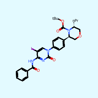 CCC[C@@H]1COC[C@@H](c2ccc(-n3cc(I)c(NC(=O)c4ccccc4)nc3=O)cc2)N1C(=O)OC(C)(C)C